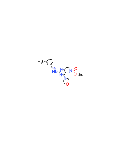 Cc1cccc(/C=N/Nc2nc3c(c(N4CCOCC4)n2)CN(C(=O)OC(C)(C)C)CC3)c1